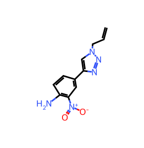 C=CCn1cc(-c2ccc(N)c([N+](=O)[O-])c2)nn1